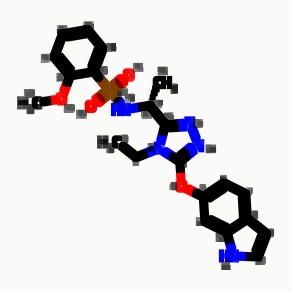 CCn1c(Oc2ccc3cc[nH]c3c2)nnc1[C@@H](C)NS(=O)(=O)c1ccccc1OC